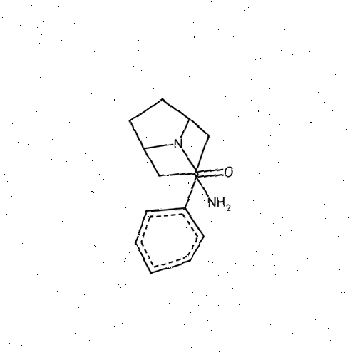 NC1CC2CCC(C1)N2C(=O)c1ccccc1